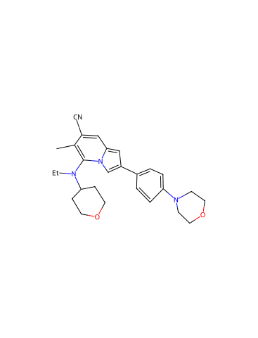 CCN(c1c(C)c(C#N)cc2cc(-c3ccc(N4CCOCC4)cc3)cn12)C1CCOCC1